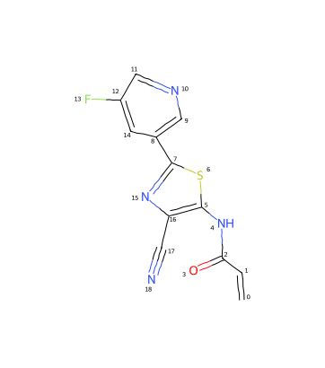 C=CC(=O)Nc1sc(-c2cncc(F)c2)nc1C#N